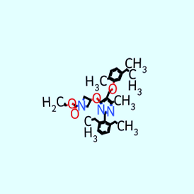 C=COC(=O)N1CC(Oc2nc(-c3c(CC)cccc3CC)nc(C)c2COc2cc(C(C)C)ccc2C)C1